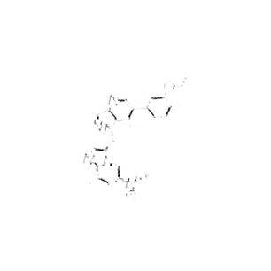 CCOc1cccc(-c2cnc3cnn(Cc4cnc5ccc([N+](=O)[O-])cn45)c3c2)c1